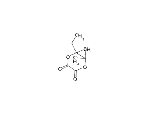 CCC12BC1(C)OC(=O)C(=O)O2